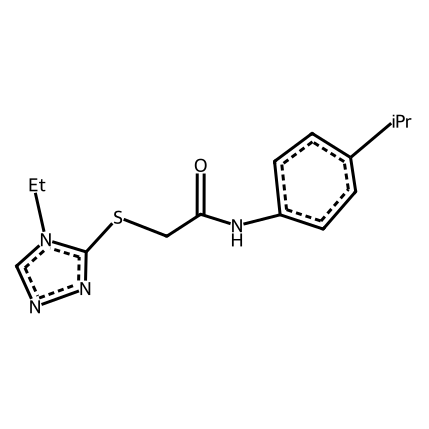 CCn1cnnc1SCC(=O)Nc1ccc(C(C)C)cc1